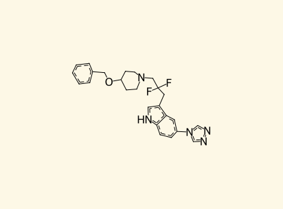 FC(F)(Cc1c[nH]c2ccc(-n3cnnc3)cc12)CN1CCC(OCc2ccccc2)CC1